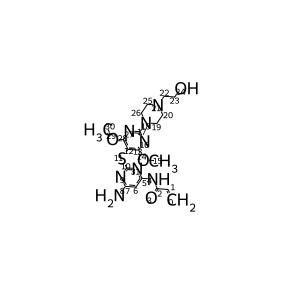 C=CC(=O)Nc1cc(N)nc(Sc2c(OC)nc(N3CCN(CCO)CC3)nc2OC)n1